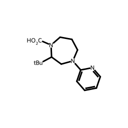 CC(C)(C)C1CN(c2ccccn2)CCCN1C(=O)O